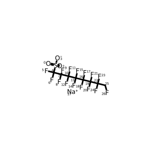 O=S(=O)([O-])C(F)(F)C(F)(F)C(F)(F)C(F)(F)C(F)(F)C(F)(F)C(F)(F)CF.[Na+]